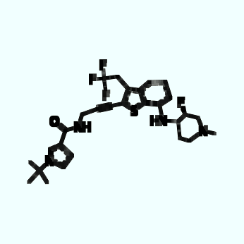 CN1CCC(Nc2cccc3c(CC(F)(F)F)c(C#CCNC(=O)c4ccn(C(C)(C)C)c4)sc23)[C@@H](F)C1